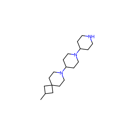 CC1CC2(CCN(C3CCN(C4CCNCC4)CC3)CC2)C1